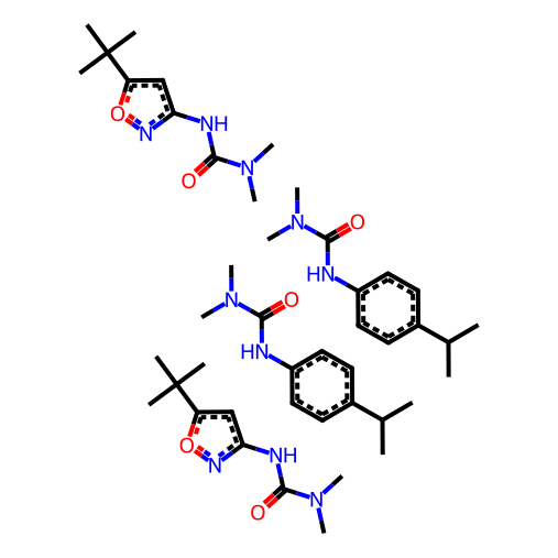 CC(C)c1ccc(NC(=O)N(C)C)cc1.CC(C)c1ccc(NC(=O)N(C)C)cc1.CN(C)C(=O)Nc1cc(C(C)(C)C)on1.CN(C)C(=O)Nc1cc(C(C)(C)C)on1